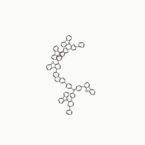 c1ccc(-c2ccc(-c3ccc(N(c4ccc(-c5ccc6c(ccc7ccc(-c8ccc(-c9ccc(N(c%10ccc(-c%11ccc(-c%12ccccc%12)cc%11-n%11c%12ccccc%12c%12ccccc%12%11)cc%10)c%10ccccc%10-c%10ccccc%10-c%10ccccc%10)cc9)c9oc%10ccccc%10c89)cc76)c5)cc4)c4ccc(-c5cccc6c5oc5ccccc56)cc4)cc3)c(-n3c4ccccc4c4ccccc43)c2)cc1